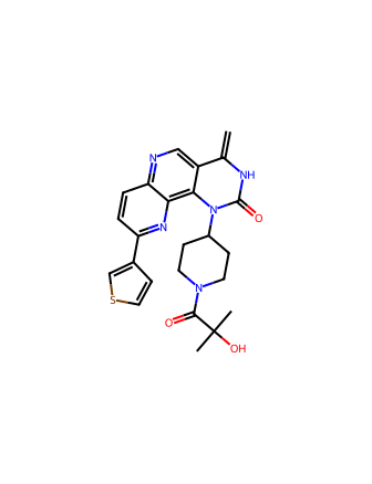 C=C1NC(=O)N(C2CCN(C(=O)C(C)(C)O)CC2)c2c1cnc1ccc(-c3ccsc3)nc21